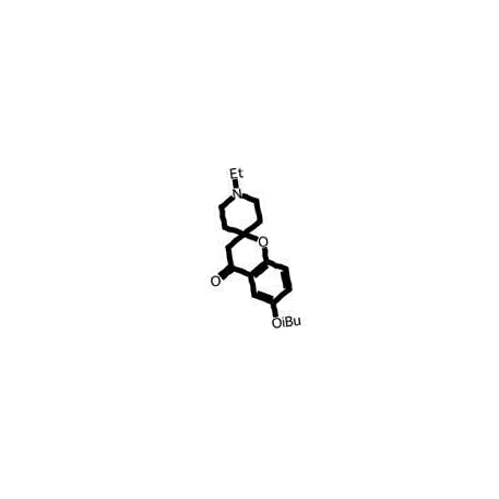 CCN1CCC2(CC1)CC(=O)c1cc(OCC(C)C)ccc1O2